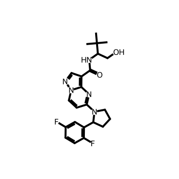 CC(C)(C)C(CO)NC(=O)c1cnn2ccc(N3CCCC3c3cc(F)ccc3F)nc12